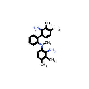 Cc1ccc(-c2ccccc2N(C)c2ccc(C)c(C)c2N)c(N)c1C